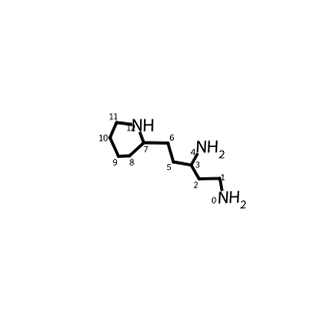 NCCC(N)CCC1CCCCN1